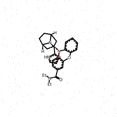 CCN(CC)C(=O)c1ccc2c(c1)Oc1ccccc1N2[C@@H]1C[C@H]2CC[C@@H](C1)N2Cc1ncc[nH]1